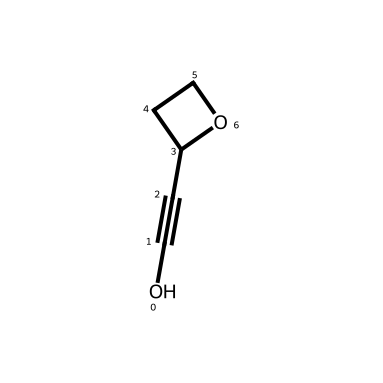 OC#CC1CCO1